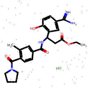 CCOC(=O)CC(NC(=O)c1ccc(C(=O)N2CCCC2)c(C)c1)c1cc(C(=N)N)ccc1O.Cl